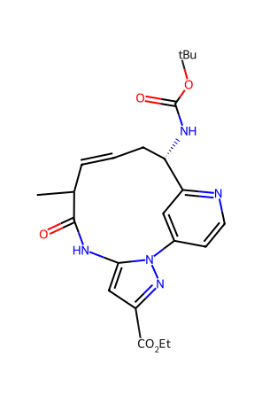 CCOC(=O)c1cc2n(n1)-c1ccnc(c1)[C@@H](NC(=O)OC(C)(C)C)C/C=C/C(C)C(=O)N2